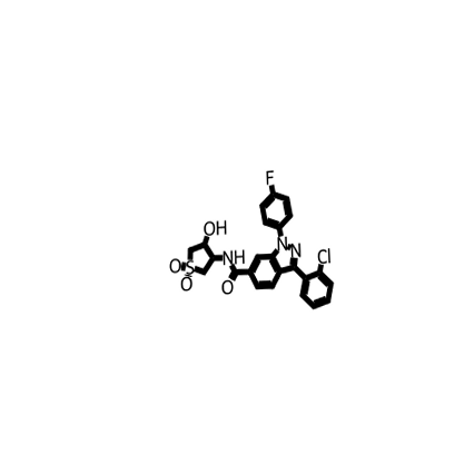 O=C(NC1CS(=O)(=O)CC1O)c1ccc2c(-c3ccccc3Cl)nn(-c3ccc(F)cc3)c2c1